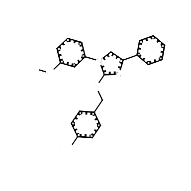 FC(F)(F)Oc1cccc(-n2cc(-c3ccccc3)nc2SCc2ccc(C(F)(F)F)cc2)c1